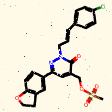 CS(=O)(=O)OCc1cc(-c2ccc3c(c2)CCO3)nn(C/C=C/c2ccc(Cl)cc2)c1=O